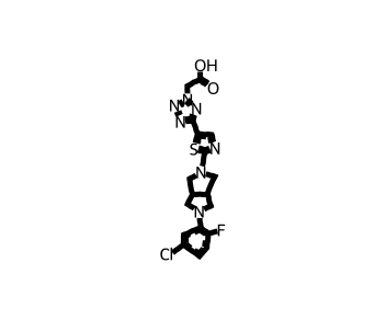 O=C(O)Cn1nnc(-c2cnc(N3CC4CN(c5cc(Cl)ccc5F)CC4C3)s2)n1